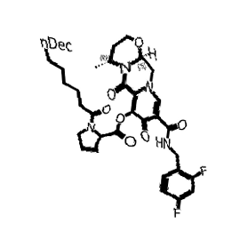 CCCCCCCCCCCCCCCC(=O)N1CCCC1C(=O)Oc1c2n(cc(C(=O)NCc3ccc(F)cc3F)c1=O)C[C@@H]1OCC[C@@H](C)N1C2=O